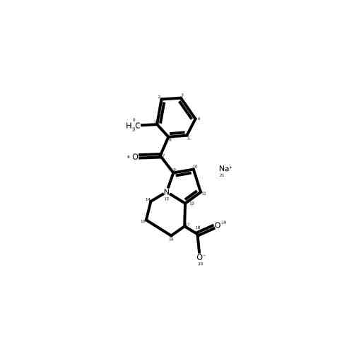 Cc1ccccc1C(=O)c1ccc2n1CCCC2C(=O)[O-].[Na+]